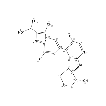 Cc1c(C(C)O)nc2c(F)cc(-c3nc(N[C@@H]4CCOC[C@H]4O)ncc3F)cn12